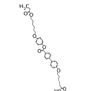 C=CC(=O)OCCCCCCOc1ccc(OC(=O)c2ccc(-c3ccc(OCCCCCC(=O)O)cc3)cc2)cc1